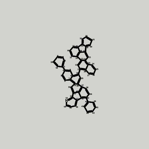 c1ccc(-c2ccc3c(c2)c(-c2cc4c5cccc6c5c(cc4c4ccccc24)-c2ccccc2-6)cc2c4ccc(-c5ccccc5)c5c4c(cc32)-c2ncccc2-5)cc1